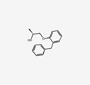 C[C@H](O)COc1ccccc1Cc1ccccc1